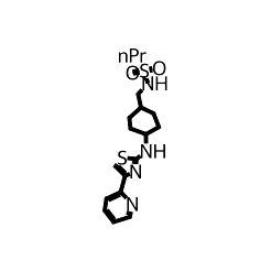 CCCS(=O)(=O)NCC1CCC(Nc2nc(-c3ccccn3)cs2)CC1